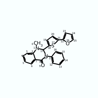 CN1c2ccccc2C(=O)N(c2ccccc2)C1c1ccc(-c2ccco2)s1